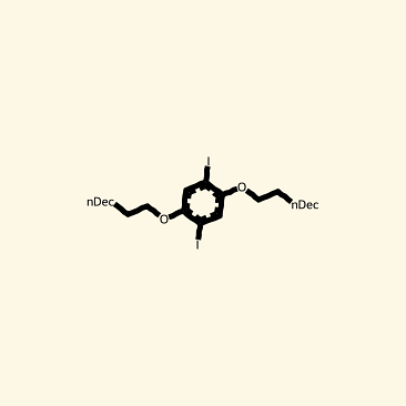 CCCCCCCCCCCCOc1cc(I)c(OCCCCCCCCCCCC)cc1I